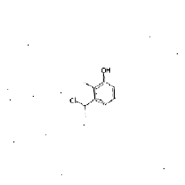 Cc1c(O)cccc1C(C)Cl